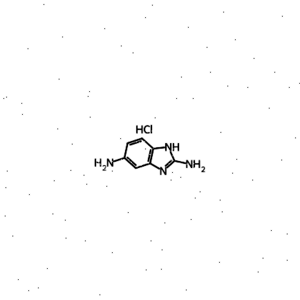 Cl.Nc1ccc2[nH]c(N)nc2c1